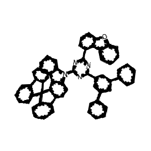 c1ccc(-c2cc(-c3ccccc3)cc(-c3nc(-c4cccc5oc6ccccc6c45)nc(-n4c5ccccc5c5c6c(ccc54)-c4ccccc4C64c5ccccc5-c5ccccc54)n3)c2)cc1